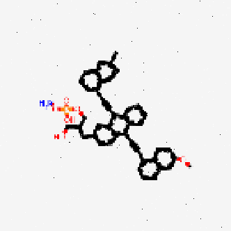 COc1ccc2c(C#Cc3c4ccccc4c(C#Cc4cccc5cc(C)ccc45)c4cc(CC(CO)COP(=O)(O)ON)ccc34)cccc2c1